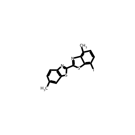 Cc1ccc2nc(-c3nc4c(C)ccc(I)c4s3)sc2c1